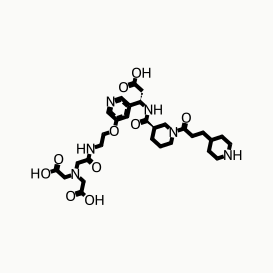 O=C(O)C[C@H](NC(=O)[C@@H]1CCCN(C(=O)CCC2CCNCC2)C1)c1cncc(OCCNC(=O)CN(CC(=O)O)CC(=O)O)c1